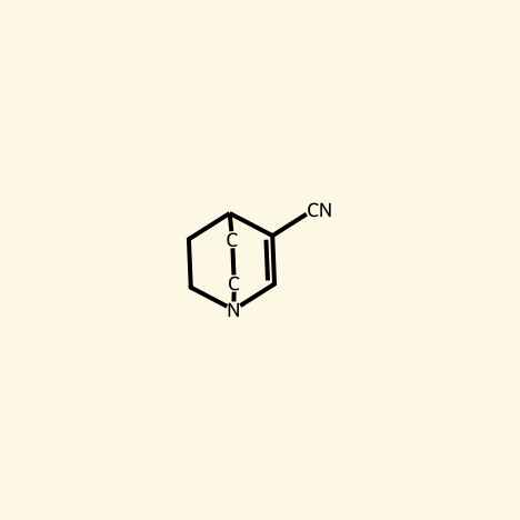 N#CC1=CN2CCC1CC2